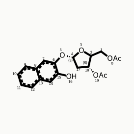 CC(=O)OCC1O[C@@H](Oc2cc3ccccc3cc2O)C[C@H]1OC(C)=O